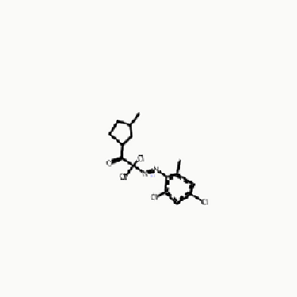 Cc1cc(Cl)cc(Cl)c1/N=N/C(Cl)(Cl)C(=O)C1CCC(C)C1